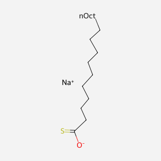 CCCCCCCCCCCCCCCCCC([O-])=S.[Na+]